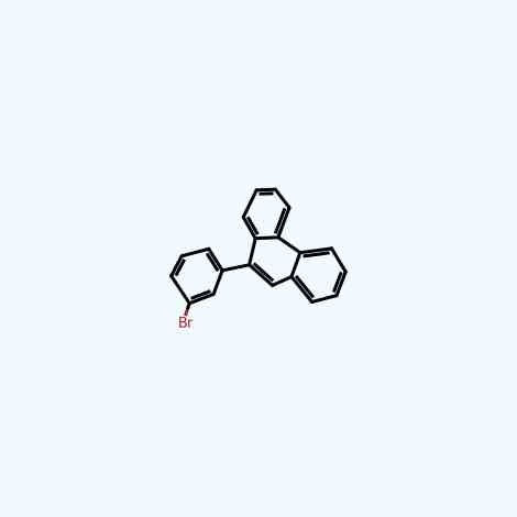 Brc1cccc(-c2cc3ccccc3c3ccccc23)c1